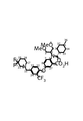 COCC(COC)N(c1ccc(Oc2ccc(CN3CCCC(F)(F)C3)cc2C(F)(F)F)cc1C(=O)O)C(=O)[C@H]1CC[C@H](C)CC1